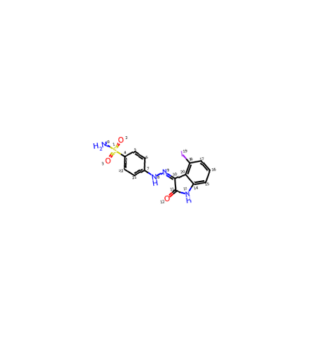 NS(=O)(=O)c1ccc(NN=C2C(=O)Nc3cccc(I)c32)cc1